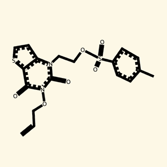 C=CCOn1c(=O)c2sccc2n(CCOS(=O)(=O)c2ccc(C)cc2)c1=O